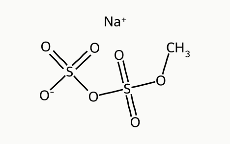 COS(=O)(=O)OS(=O)(=O)[O-].[Na+]